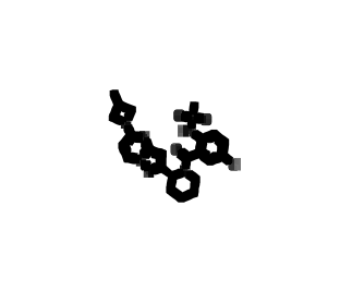 CC1CN(c2ccn3nc([C@@H]4CCCCN4C(=O)c4cc(Cl)ccc4NS(C)(=O)=O)cc3n2)C1